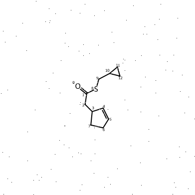 O=C(CC1C=CCC1)SCC1CC1